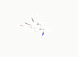 CC1(C#N)CC[C@H]2[C@@H]3CC(=CO)C4=CC(=O)CC[C@]4(C)[C@@H]3CC[C@@]21C